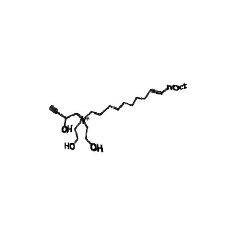 C#CC(O)C[N+](CCO)(CCO)CCCCCCCC/C=C/CCCCCCCC